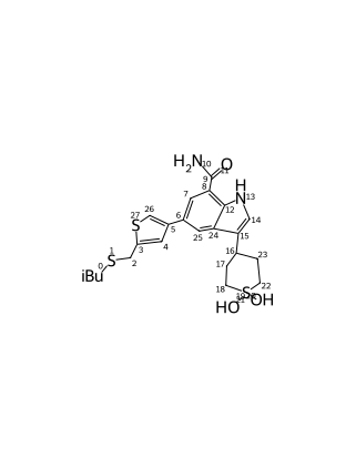 CCC(C)SCc1cc(-c2cc(C(N)=O)c3[nH]cc(C4CCS(O)(O)CC4)c3c2)cs1